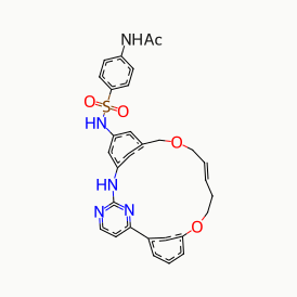 CC(=O)Nc1ccc(S(=O)(=O)Nc2cc3cc(c2)Nc2nccc(n2)-c2cccc(c2)OCC/C=C/COC3)cc1